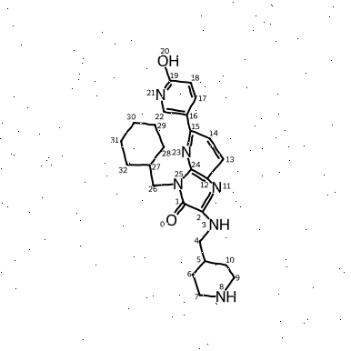 O=c1c(NCC2CCNCC2)nc2ccc(-c3ccc(O)nc3)nc2n1CC1CCCCC1